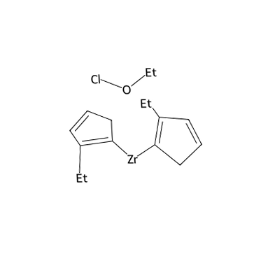 CCC1=[C]([Zr][C]2=C(CC)C=CC2)CC=C1.CCOCl